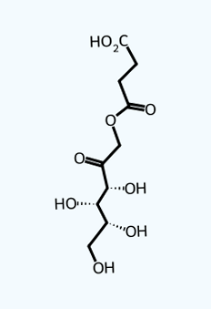 O=C(O)CCC(=O)OCC(=O)[C@H](O)[C@@H](O)[C@H](O)CO